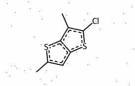 Cc1cc2sc(Cl)c(C)c2s1